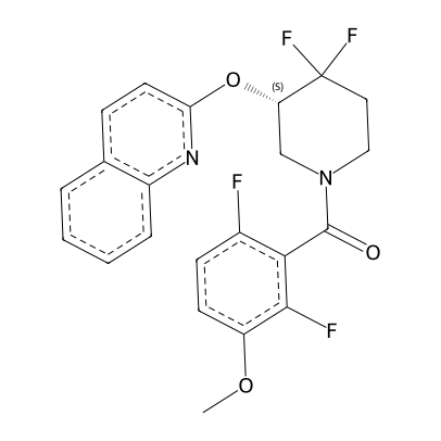 COc1ccc(F)c(C(=O)N2CCC(F)(F)[C@@H](Oc3ccc4ccccc4n3)C2)c1F